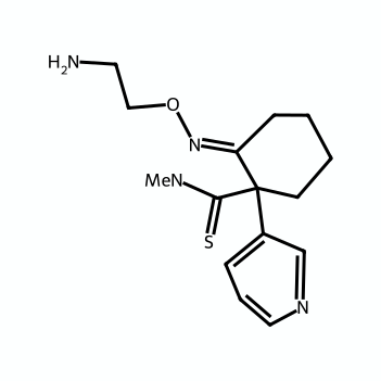 CNC(=S)C1(c2cccnc2)CCCCC1=NOCCN